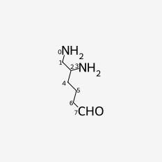 NCC(N)CCCC=O